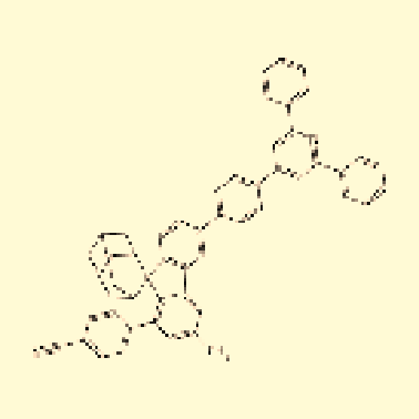 Cc1cc(-c2ccc(C#N)cc2)c2c(c1)-c1cc(-c3ccc(-c4cc(-c5ccccc5)nc(-c5ccccc5)c4)cc3)ccc1C21C2CC3CC(C2)CC1C3